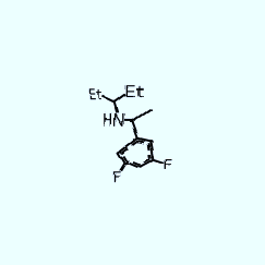 CCC(CC)NC(C)c1cc(F)cc(F)c1